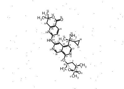 C[C@H](C[C@@H](C)S(C)(=O)=O)Oc1ncc([C@](C)(N)C2CC2)c2cc(Nc3ccc4c(n3)CC(C)(C)OC4=O)ncc12